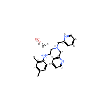 Cc1ccc(NCCN(Cc2ccccn2)Cc2ccccn2)c(C)c1.[Br-].[Br-].[Co+2]